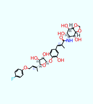 C/C(=C\c1ccc(O[C@@H]2O[C@H](/C(C)=C/COc3ccc(F)cc3)[C@@H](O)[C@@H]2O)c(O)c1)C(=O)N[C@@H]1[C@H](O)[C@@H](O)[C@H]2OCO[C@H]2[C@@H]1O